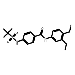 CCc1cc(NC(=O)c2ccc(NS(=O)(=O)C(C)(C)C)cc2)ccc1CF